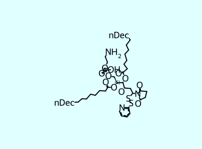 CCCCCCCCCCCCCCCCCC(=O)OC(C(=O)CC(SSc1ccccn1)N1C(=O)CCC1=O)[C@H](COP(=O)(O)OCCN)OC(=O)CCCCCCCCCCCCCCCCC